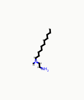 CCCCCCCCCCCN(C)CCN